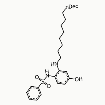 CCCCCCCCCCCCCCCCCCNc1cc(O)ccc1NS(=O)(=O)c1ccccc1